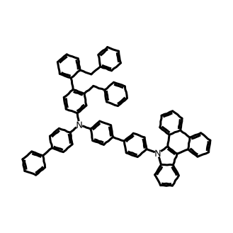 c1ccc(Cc2ccccc2-c2ccc(N(c3ccc(-c4ccccc4)cc3)c3ccc(-c4ccc(-n5c6ccccc6c6c7ccccc7c7ccccc7c65)cc4)cc3)cc2Cc2ccccc2)cc1